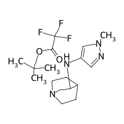 CC(C)(C)OC(=O)C(F)(F)F.Cn1cc(NC2CN3CCC2CC3)cn1